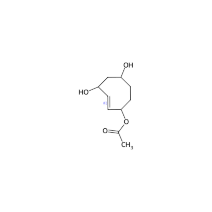 CC(=O)OC1/C=C/C(O)CC(O)CC1